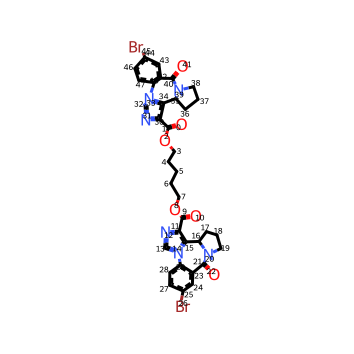 O=C(OCCCCCOC(=O)c1ncn2c1C1CCCN1C(=O)c1cc(Br)ccc1-2)c1ncn2c1C1CCCN1C(=O)c1cc(Br)ccc1-2